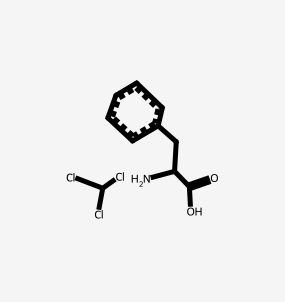 ClC(Cl)Cl.NC(Cc1ccccc1)C(=O)O